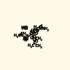 CCC(C)CC(=O)OC(C)OC(=O)C1=C(CSc2nnnn2CCN(C)C)CS[C@@H]2[C@H](NC(=O)Cc3csc(N)n3)C(=O)N12.Cl.Cl